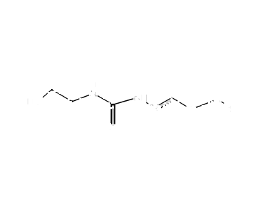 [3H]SOC=NNC(=O)NCCO